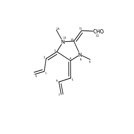 C=C/C=C1\C(=C/C=C)N(C)C(=CC=O)N1C